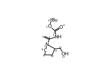 C=C(NC(=O)OC(C)(C)C)N1CCCC1CO